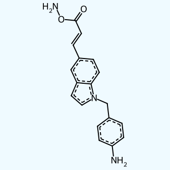 NOC(=O)/C=C/c1ccc2c(ccn2Cc2ccc(N)cc2)c1